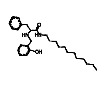 CCCCCCCCCCCCNC(=O)C(Cc1ccccc1)NCc1ccccc1O